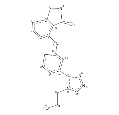 O=C1N=Cc2cccc(Nc3cccc(-c4nncn4CCO)n3)c21